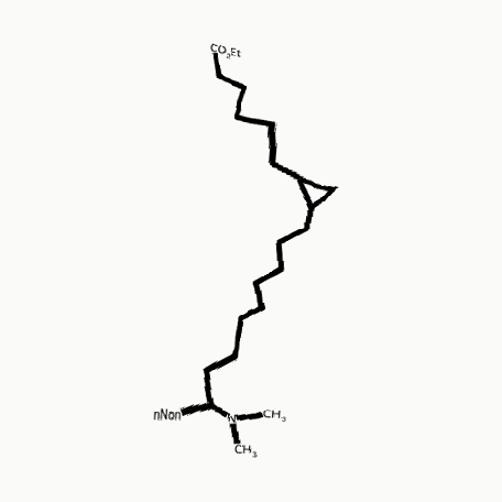 CCCCCCCCCC(CCCCCCCCC1CC1CCCCCC(=O)OCC)N(C)C